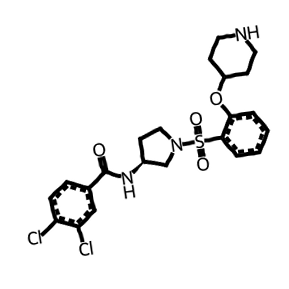 O=C(N[C@H]1CCN(S(=O)(=O)c2ccccc2OC2CCNCC2)C1)c1ccc(Cl)c(Cl)c1